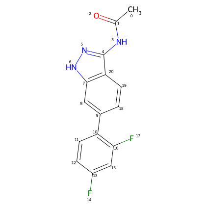 CC(=O)Nc1n[nH]c2cc(-c3ccc(F)cc3F)ccc12